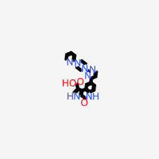 O=C(O)c1c[nH]c2c(=O)[nH]c3ccc(-c4ccnc(N5CCN(c6ccccn6)CC5)n4)cc3c12